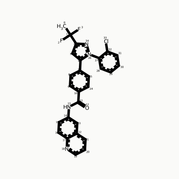 CC(F)(F)c1cc(-c2ccc(C(=O)Nc3ccc4ncccc4c3)cc2)n(-c2ccccc2Cl)n1